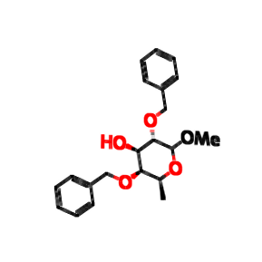 COC1O[C@@H](C)[C@@H](OCc2ccccc2)[C@@H](O)[C@@H]1OCc1ccccc1